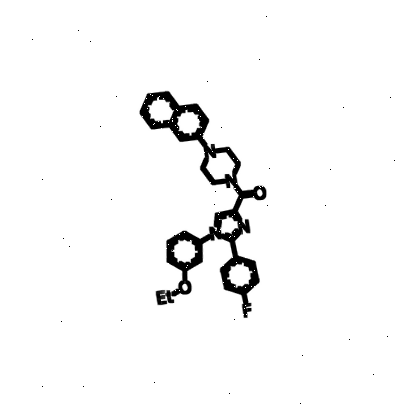 CCOc1cccc(-n2cc(C(=O)N3CCN(c4ccc5ccccc5c4)CC3)nc2-c2ccc(F)cc2)c1